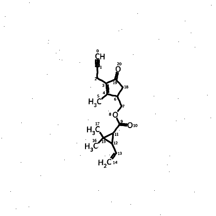 C#CCC1=C(C)C(COC(=O)C2C(C=C)C2(C)C)CC1=O